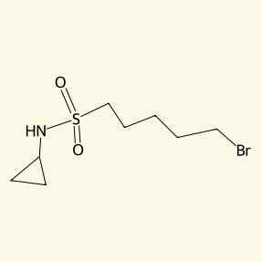 O=S(=O)(CCCCCBr)NC1CC1